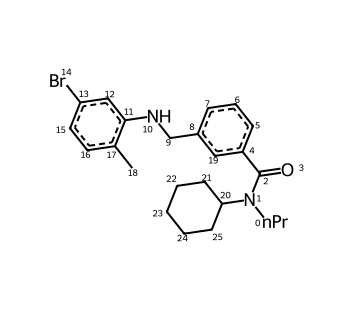 CCCN(C(=O)c1cccc(CNc2cc(Br)ccc2C)c1)C1CCCCC1